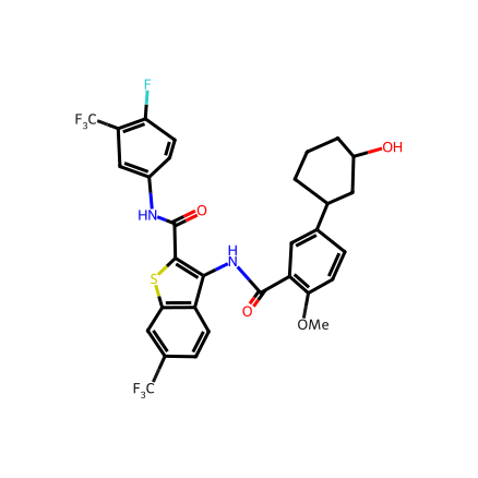 COc1ccc(C2CCCC(O)C2)cc1C(=O)Nc1c(C(=O)Nc2ccc(F)c(C(F)(F)F)c2)sc2cc(C(F)(F)F)ccc12